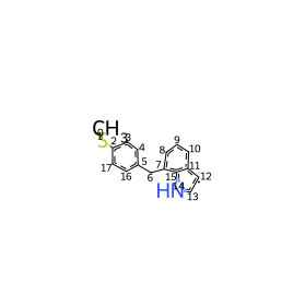 CSc1ccc(Cc2cccc3[c]c[nH]c23)cc1